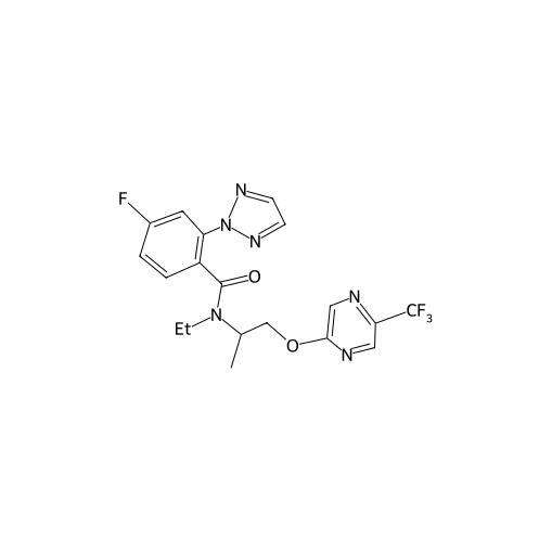 CCN(C(=O)c1ccc(F)cc1-n1nccn1)C(C)COc1cnc(C(F)(F)F)cn1